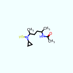 CC(=O)NC(C)CCC(C)N(S)C1CC1